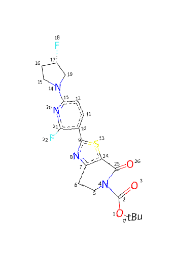 CC(C)(C)OC(=O)N1CCc2nc(-c3ccc(N4CC[C@H](F)C4)nc3F)sc2C1=O